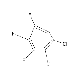 Fc1cc(Cl)c(Cl)c(F)c1F